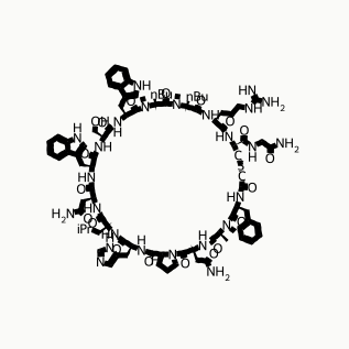 CCCC[C@H]1C(=O)N(C)[C@@H](CCCC)C(=O)N[C@@H](CCCNC(=N)N)C(=O)N[C@H](C(=O)NCC(N)=O)CSCC(=O)N[C@@H](Cc2ccccc2)C(=O)N(C)[C@@H](C)C(=O)N[C@@H](CC(N)=O)C(=O)N2CCC[C@H]2C(=O)N[C@@H](Cc2cnc[nH]2)C(=O)N[C@@H](CC(C)C)C(=O)N[C@@H](CC(N)=O)C(=O)N[C@@H](Cc2c[nH]c3ccccc23)C(=O)N[C@@H](CO)C(=O)N[C@@H](Cc2c[nH]c3ccccc23)C(=O)N1C